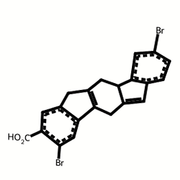 O=C(O)c1cc2c(cc1Br)C1=C(C2)CC2C(=Cc3ccc(Br)cc32)C1